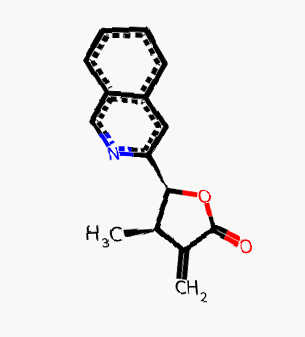 C=C1C(=O)O[C@H](c2cc3ccccc3cn2)[C@@H]1C